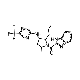 CCCC1C(Nc2cnc(C(F)(F)F)cn2)CC(C)N1C(=O)c1nc2ccccc2[nH]1